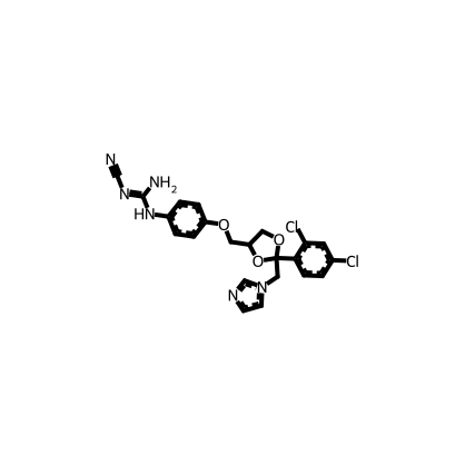 N#C/N=C(\N)Nc1ccc(OCC2COC(Cn3ccnc3)(c3ccc(Cl)cc3Cl)O2)cc1